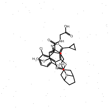 COc1cc(C(=O)NCC(=O)O)cc2sc(N3C4CCC3CC(NCc3c(-c5c(Cl)cccc5Cl)noc3C3CC3)C4)nc12